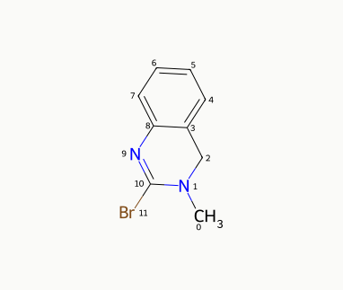 CN1Cc2ccccc2N=C1Br